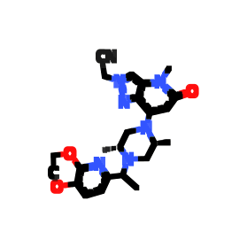 CC(c1ccc2c(n1)OCCO2)N1C[C@H](C)N(c2cc(=O)n(C)c3cn(CC#N)nc23)C[C@H]1C